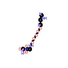 O=C1CCC(N2C(=O)c3cccc(NCCOCCOCCOCCOCCOc4ccc(-c5ccc6c(c5)[nH]c5ccncc56)cn4)c3C2=O)C(=O)N1